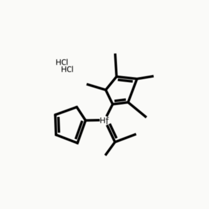 CC1=C(C)C(C)[C]([Hf]([C]2=CC=CC2)=[C](C)C)=C1C.Cl.Cl